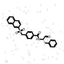 O=C[C@H](Cc1ccccc1)NC(=O)c1ccc(CS(=O)(=O)c2ccc3ccccc3c2)cc1